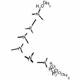 CN(C)C.CN(C)C.CN(C)C.CN(C)C.CN(C)C.CN(C)C.O.O.O.O.O.O